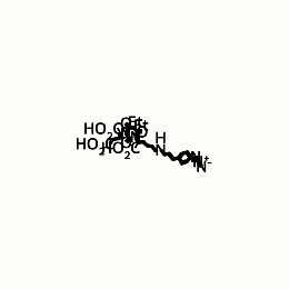 CCC1(CC)C(=O)N([C@@H](CCCCNCC=Cc2ccc(N=[N+]=[N-])cc2)C(=O)O)C(=O)N([C@@H](CCC(=O)O)C(=O)O)C1=O